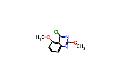 COc1nc(Cl)c2c(OC)cccc2n1